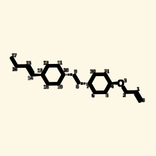 C=CCO[C@H]1CC[C@H](CC[C@H]2CC[C@H](/C=C/CC)CC2)CC1